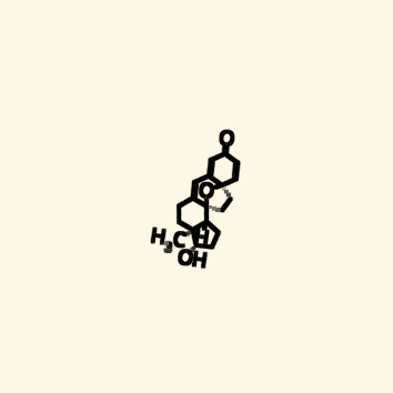 C[C@]12CCC3=CC4=CC(=O)C=C[C@]45CC[C@]3(O5)[C@@H]1CC[C@@H]2O